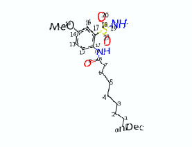 CCCCCCCCCCCCCCCCCC(=O)Nc1ccc(OC)cc1S([NH])(=O)=O